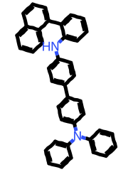 c1ccc(N(c2ccccc2)c2ccc(-c3ccc(Nc4ccccc4-c4cccc5ccccc45)cc3)cc2)cc1